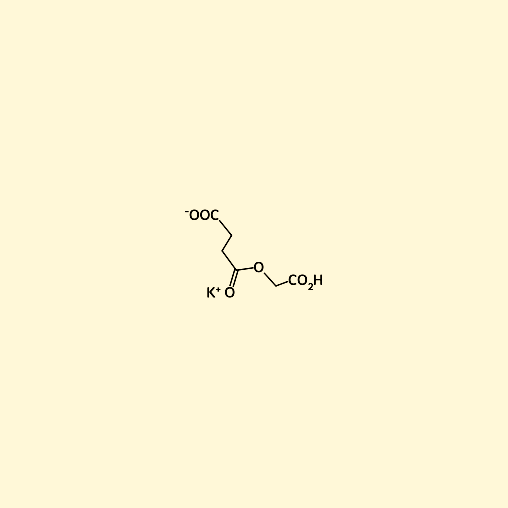 O=C([O-])CCC(=O)OCC(=O)O.[K+]